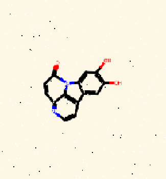 O=c1ccc2nccc3c4cc(O)c(O)cc4n1c23